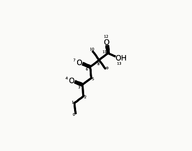 CCCC(=O)CC(=O)C(C)(C)C(=O)O